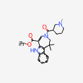 CC(C)OC(=O)C1=CN(C(=O)C2CCCN(C)C2)CC(C)(C)c2c1[nH]c1ccccc21